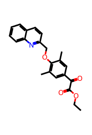 CCOC(=O)C(=O)c1cc(C)c(OCc2ccc3ccccc3n2)c(C)c1